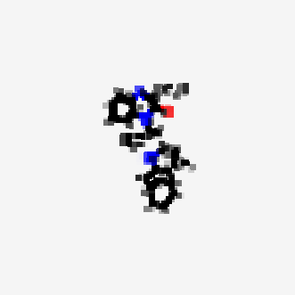 C=C[C@@H](C[C@H](C)n1c(=O)c(C(=O)O)nc2ccccc21)NC1CC2CCCC(C2)C1